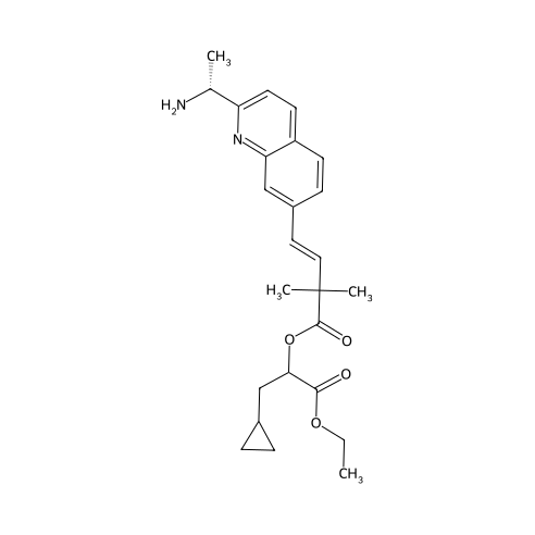 CCOC(=O)C(CC1CC1)OC(=O)C(C)(C)/C=C/c1ccc2ccc([C@@H](C)N)nc2c1